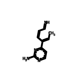 C/C=C(\C=C/C=N)c1ccnc(N)n1